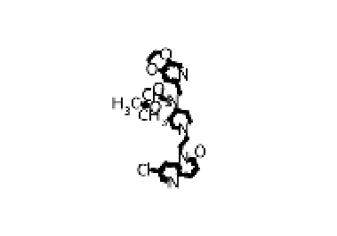 CC(C)(C)OC(=O)N(Cc1cc2c(cn1)OCCO2)C1CCN(CCn2c(=O)ccc3ncc(Cl)cc32)CC1